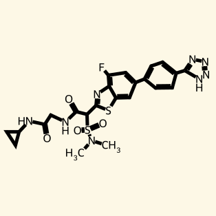 CN(C)S(=O)(=O)C(C(=O)NCC(=O)NC1CC1)c1nc2c(F)cc(-c3ccc(-c4nnn[nH]4)cc3)cc2s1